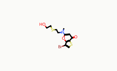 CN(CCSCCO)c1cc(=O)c2scc(Br)c2o1